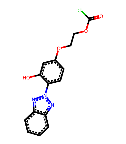 O=C(Cl)OCCOc1ccc(-n2nc3ccccc3n2)c(O)c1